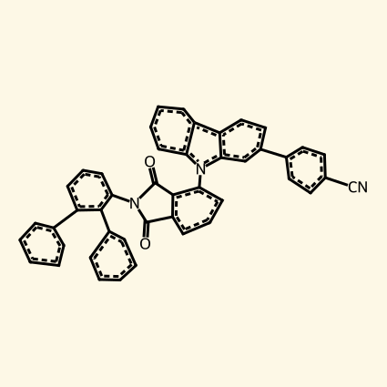 N#Cc1ccc(-c2ccc3c4ccccc4n(-c4cccc5c4C(=O)N(c4cccc(-c6ccccc6)c4-c4ccccc4)C5=O)c3c2)cc1